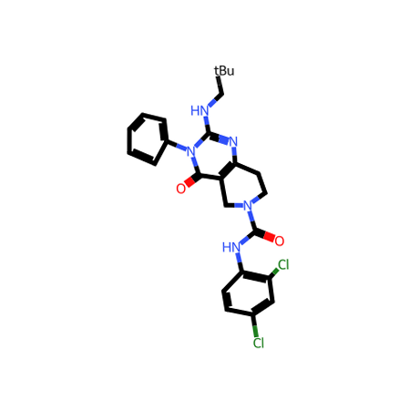 CC(C)(C)CNc1nc2c(c(=O)n1-c1ccccc1)CN(C(=O)Nc1ccc(Cl)cc1Cl)CC2